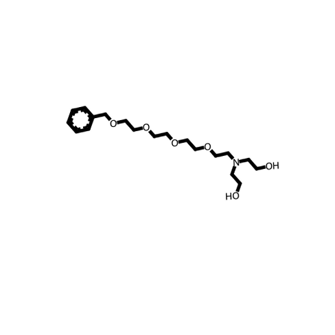 OCCN(CCO)CCOCCOCCOCCOCc1ccccc1